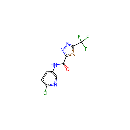 O=C(Nc1ccc(Cl)nc1)c1nnc(C(F)(F)F)s1